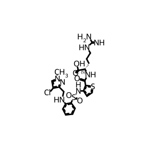 Cn1cc(Cl)c(CNc2ccccc2S(=O)(=O)Nc2ccsc2C(=O)N[C@@H](CCCNC(=N)N)C(=O)O)n1